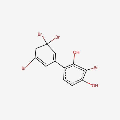 Oc1ccc(C2=CC(Br)(Br)CC(Br)=C2)c(O)c1Br